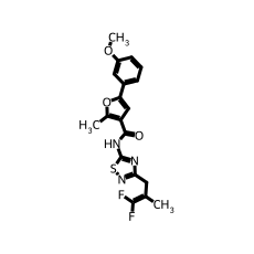 COc1cccc(-c2cc(C(=O)Nc3nc(CC(C)=C(F)F)ns3)c(C)o2)c1